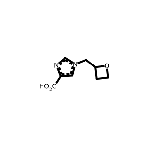 O=C(O)c1cn(CC2CCO2)cn1